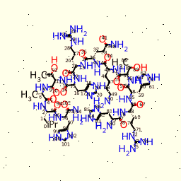 CC(C)C[C@H](NC(=O)[C@H](C)NC(=O)[C@@H](NC(=O)[C@H](Cc1c[nH]cn1)NC(=O)[C@H](CCCNC(=N)N)NC(=O)[C@H](CCC(N)=O)NC(=O)[C@H](CCCCN)NC(=O)[C@@H](NC(=O)[C@H](Cc1c[nH]cn1)NC(=O)[C@H](CCCNC(=N)N)NC(=O)[C@@H](N)Cc1c[nH]cn1)[C@@H](C)O)[C@@H](C)O)C(=O)N[C@@H](Cc1c[nH]cn1)C(N)=O